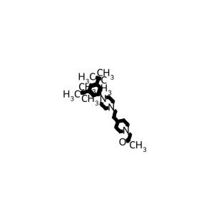 CC(=O)CN1CCC(CCN2CCN(c3cc(C(C)(C)C)cc(C(C)(C)C)c3)CC2)CC1